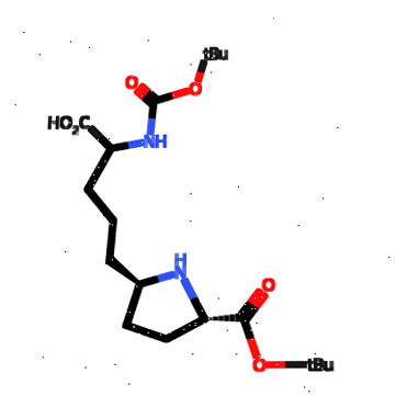 CC(C)(C)OC(=O)NC(CCC[C@@H]1CC[C@@H](C(=O)OC(C)(C)C)N1)C(=O)O